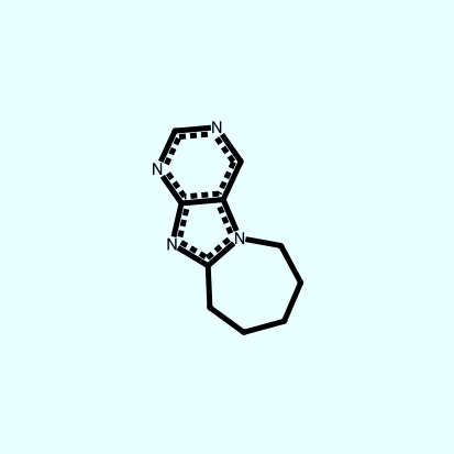 c1ncc2c(n1)nc1n2CCCCC1